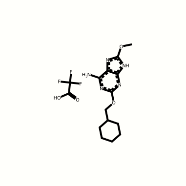 COc1nc2c(N)nc(OCC3CCCCC3)nc2[nH]1.O=C(O)C(F)(F)F